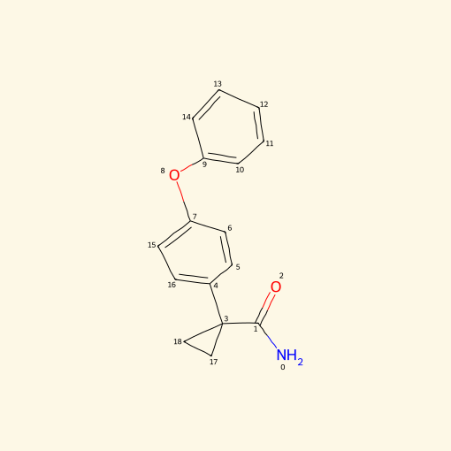 NC(=O)C1(c2ccc(Oc3ccccc3)cc2)CC1